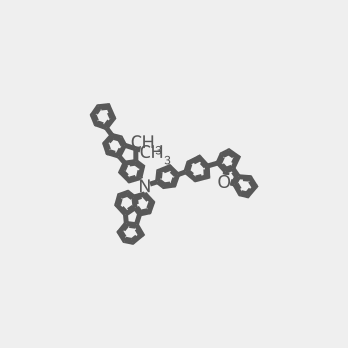 CC1(C)c2cc(-c3ccccc3)ccc2-c2ccc(N(c3ccc(-c4ccc(-c5cccc6c5oc5ccccc56)cc4)cc3)c3ccc4c5c(cccc35)-c3ccccc3-4)cc21